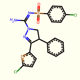 NC(=NS(=O)(=O)c1ccc(Cl)cc1)N1CC(c2ccccc2)C(c2ccc(Cl)s2)=N1